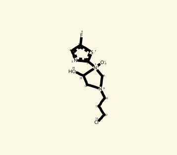 [O-][N+]1(c2ncc(F)s2)CN(CCCCl)CC1O